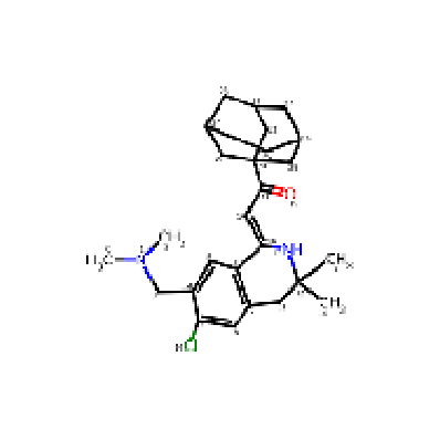 CN(C)Cc1cc2c(cc1Cl)CC(C)(C)N/C2=C\C(=O)C12CC3CC(CC(C3)C1)C2